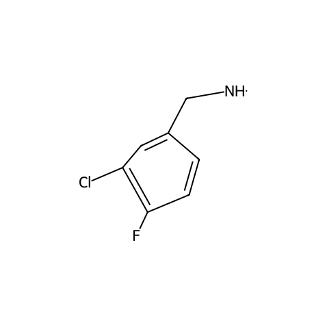 [NH]Cc1ccc(F)c(Cl)c1